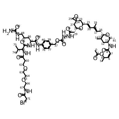 CC(=O)OC(C)/C=C\C(=O)N[C@@H]1CC(C)[C@H](C/C=C(C)/C=C/[C@@H]2C[C@]3(CO3)C[C@@H](CC(=O)NNC(=O)OCc3ccc(NC(=O)[C@H](CCCNC(N)=O)NC(=O)C(NC(=O)CCOCCOCCNC(=O)CBr)C(C)C)cc3)O2)O[C@@H]1C